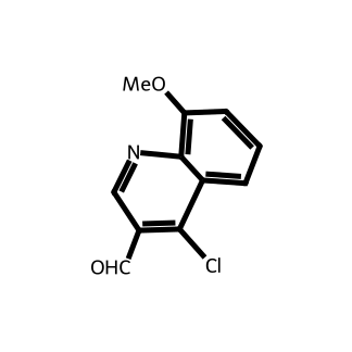 COc1cccc2c(Cl)c(C=O)cnc12